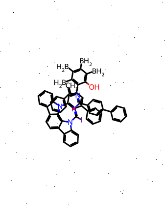 Bc1c(B)c(B)c(-c2cc(-c3ccccc3)cc(-n3c4ccccc4c4ccc5c6ccccc6n(/C(I)=N/C(=N\C(=C)c6ccccc6)c6ccc(-c7ccccc7)cc6)c5c43)c2)c(O)c1B